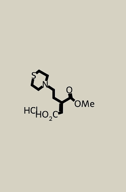 COC(=O)/C(=C/C(=O)O)CCN1CCSCC1.Cl